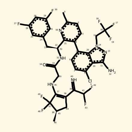 Cc1ccc(-c2ccc(Cl)c3c(N)nn(CC(F)(F)F)c23)c([C@H](Cc2cc(F)cc(F)c2)NC(=O)CNC2=C(C(=N)C(F)F)C[C@@H](C)C2(F)F)n1